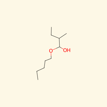 CCCCCOC(O)C(C)CC